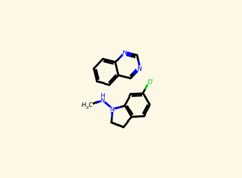 CNN1CCc2ccc(Cl)cc21.c1ccc2ncncc2c1